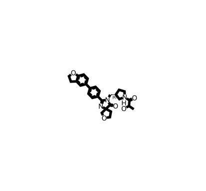 CC(O)C(=O)N1CC[C@@H](CN2C(=O)C3(CCOC3)N=C2c2ccc(-c3ccc4c(c3)CCO4)cc2)C1